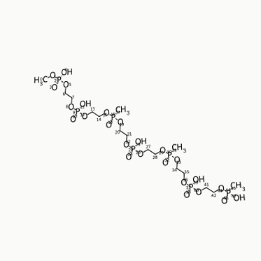 COP(=O)(O)OCCOP(=O)(O)OCCOP(C)(=O)OCCOP(=O)(O)OCCOP(C)(=O)OCCOP(=O)(O)OCCOP(C)(=O)O